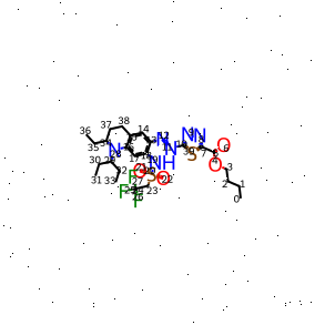 CCCCOC(=O)c1nnc(N=Nc2cc3c(cc2NS(=O)(=O)CC(F)(F)F)N(C(CC)CC)C(CC)CC3)s1